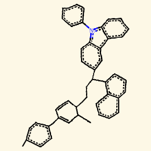 Cc1ccc(C2=CC(C)C(CCC(c3ccc4c(c3)c3ccccc3n4-c3ccccc3)c3cccc4ccccc34)C=C2)cc1